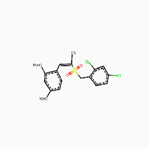 COc1ccc(C=C(C#N)S(=O)(=O)Cc2ccc(Cl)cc2Cl)c(OC)c1